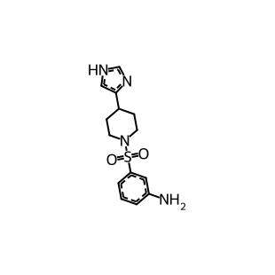 Nc1cccc(S(=O)(=O)N2CCC(c3c[nH]cn3)CC2)c1